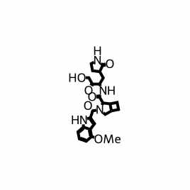 COc1cccc2[nH]c(C(=O)N3CC4CCC4C3C(=O)NC(CC3CCNC3=O)C(=O)CO)cc12